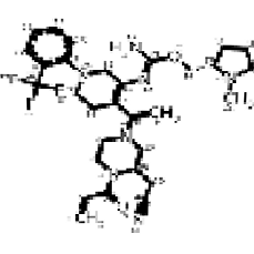 C=CC(=O)N1CCN(C(=C)C2=C(/N=C(\N)OC[C@@H]3CCCN3C)CN(c3ccccc3C(F)(F)F)CC2)CC1CC#N